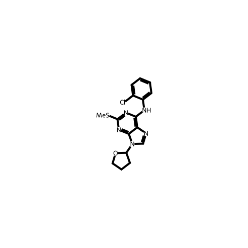 CSc1nc(Nc2ccccc2Cl)c2ncn(C3CCCO3)c2n1